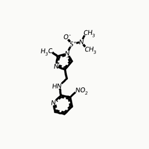 Cc1nc(CNc2ncccc2[N+](=O)[O-])cn1[S+]([O-])N(C)C